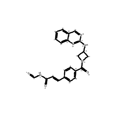 O=CNC(=O)C=Cc1ccc(C(=O)N2CC(Nc3ncc4ccccc4n3)C2)cc1